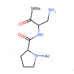 CNC(=O)C(CN)NC(=O)C1CCCN1C(C)=O